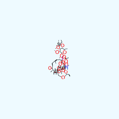 C=CC1COCC[C@H]2C[C@@H](C)C(=O)/C=C/C(C)=C/[C@H](COC3OC(C)[C@@H](O[Si](CC)(CC)CC)C(OC)C3OC)[C@@H](I)OC(=O)C[C@@H](O1)[C@H](C)[C@H]2OC1OC(C)[C@@H](OC(C)=O)C(N(C)C)C1OC(C)=O